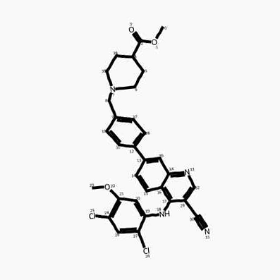 COC(=O)C1CCN(Cc2ccc(-c3ccc4c(Nc5cc(OC)c(Cl)cc5Cl)c(C#N)cnc4c3)cc2)CC1